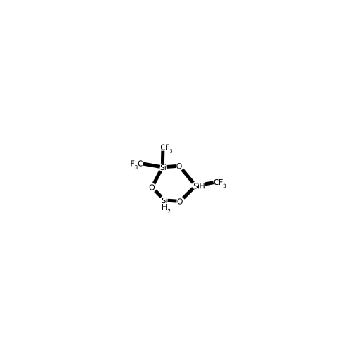 FC(F)(F)[SiH]1O[SiH2]O[Si](C(F)(F)F)(C(F)(F)F)O1